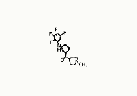 CN1CCC(C(=O)c2cccc(Nc3cc(F)c(F)c(F)c3F)c2)CC1